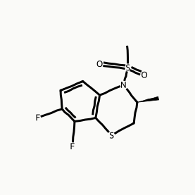 C[C@H]1CSc2c(ccc(F)c2F)N1S(C)(=O)=O